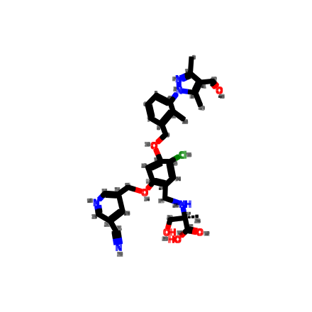 Cc1nn(-c2cccc(COc3cc(OCc4cncc(C#N)c4)c(CN[C@](C)(CO)C(=O)O)cc3Cl)c2C)c(C)c1C=O